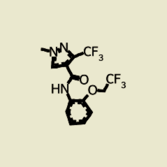 Cn1cc(C(=O)Nc2ccccc2OCC(F)(F)F)c(C(F)(F)F)n1